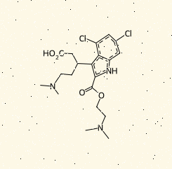 CN(C)CCOC(=O)c1[nH]c2cc(Cl)cc(Cl)c2c1C(CCN(C)C)CC(=O)O